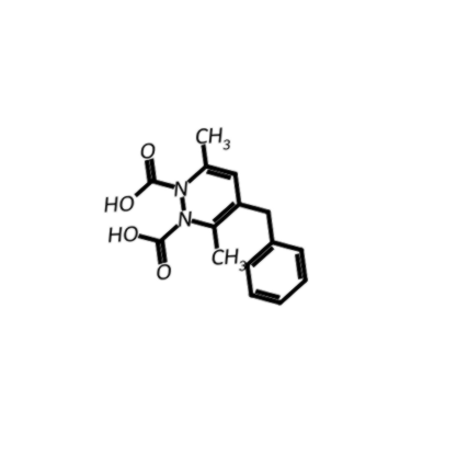 CC1=CC(Cc2ccccc2)=C(C)N(C(=O)O)N1C(=O)O